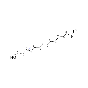 OCC/C=C/CCCCCCCCCCF